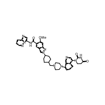 COc1cc2nn(C3CCC(CN4CCN(c5cccc6c(N7CCC(=O)NC7=O)cncc56)CC4)CC3)cc2cc1C(=O)Nc1cnc2cccnn12